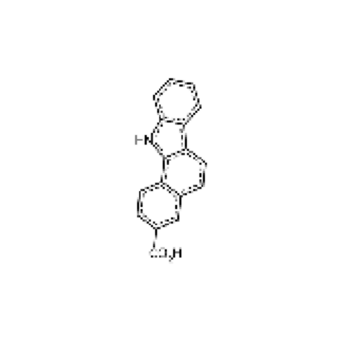 O=C(O)c1ccc2c(ccc3c4ccccc4[nH]c23)c1